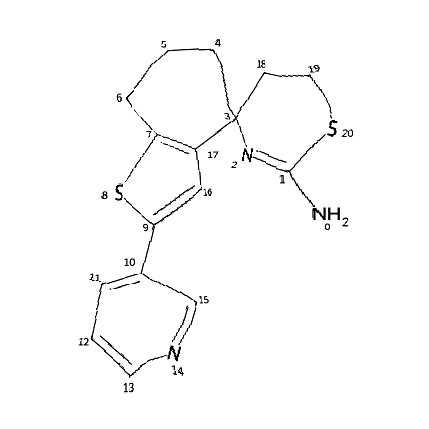 NC1=NC2(CCCc3sc(-c4cccnc4)cc32)CCS1